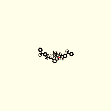 CCNC(=O)C(C(=O)N(CC)C(C)=S)C1=C(C=CC2=[N+](C)c3ccc(C(=O)c4ccccc4)cc3C2(C)C)CCCC1=CC=C1N(C)c2ccc(C(=O)c3ccccc3)cc2C1(C)C